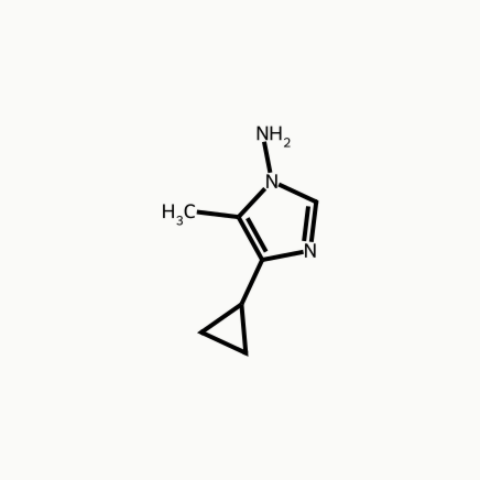 Cc1c(C2CC2)ncn1N